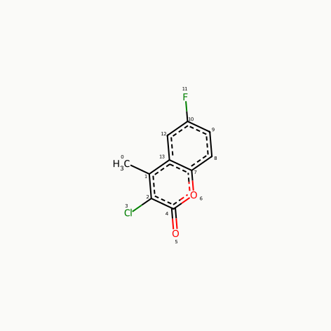 Cc1c(Cl)c(=O)oc2ccc(F)cc12